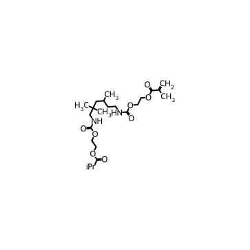 C=C(C)C(=O)OCCOC(=O)NCCC(C)CC(C)(C)CNC(=O)OCCOC(=O)C(C)C